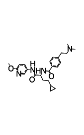 COc1ccc(NC(=O)C(CCC2CC2)NC(=O)c2ccc(CCN(C)C)cc2)cn1